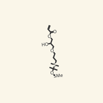 C=CC(=O)OCC(O)COCCCS(C)(C)C(C)(C)OSC